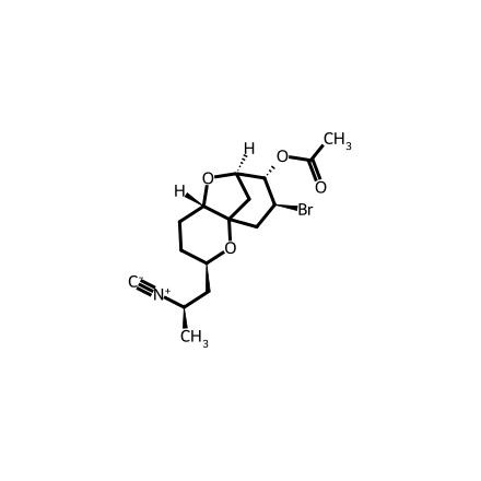 [C-]#[N+][C@H](C)C[C@H]1CC[C@@H]2O[C@@H]3CC2(C[C@H](Br)[C@H]3OC(C)=O)O1